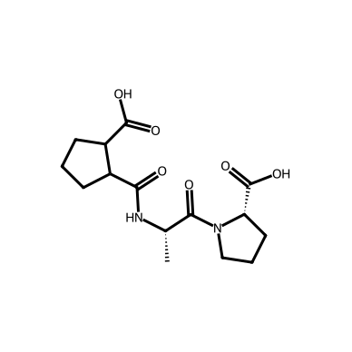 C[C@H](NC(=O)C1CCCC1C(=O)O)C(=O)N1CCC[C@H]1C(=O)O